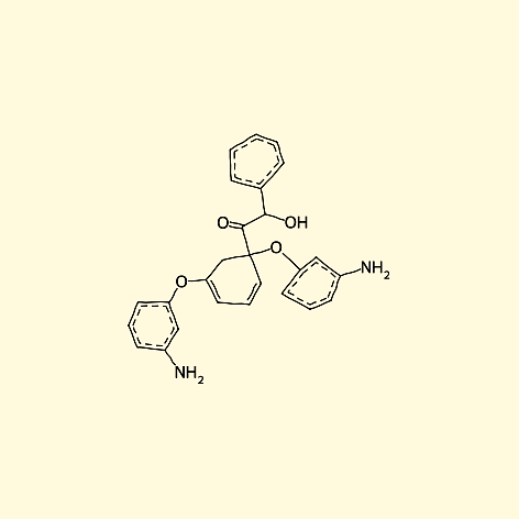 Nc1cccc(OC2=CC=CC(Oc3cccc(N)c3)(C(=O)C(O)c3ccccc3)C2)c1